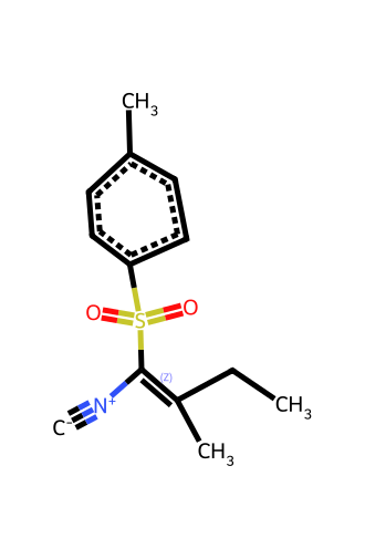 [C-]#[N+]/C(=C(\C)CC)S(=O)(=O)c1ccc(C)cc1